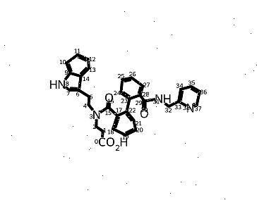 O=C(O)CCN(CCc1c[nH]c2ccccc12)C(=O)c1ccccc1-c1ccccc1C(=O)NCc1ccccn1